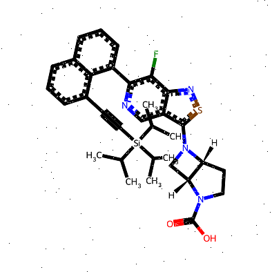 CC(C)[Si](C#Cc1cccc2cccc(-c3ncc4c(N5C[C@@H]6[C@H]5CCN6C(=O)O)snc4c3F)c12)(C(C)C)C(C)C